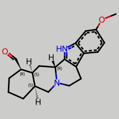 COc1ccc2c3c([nH]c2c1)[C@H]1C[C@H]2[C@H](CCC[C@H]2C=O)CN1CC3